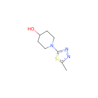 Cc1nnc(N2CCC(O)CC2)s1